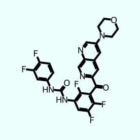 O=C(Nc1ccc(F)c(F)c1)Nc1cc(F)c(F)c(C(=O)c2cc3cc(N4CCOCC4)cnc3cn2)c1F